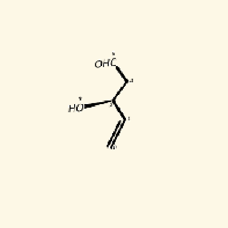 C=C[C@@H](O)CC=O